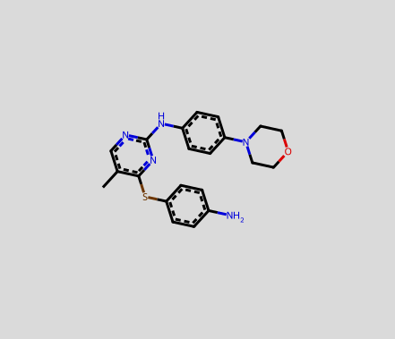 Cc1cnc(Nc2ccc(N3CCOCC3)cc2)nc1Sc1ccc(N)cc1